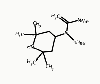 C=C(NC)N(CCCCCC)C1CC(C)(C)NC(C)(C)C1